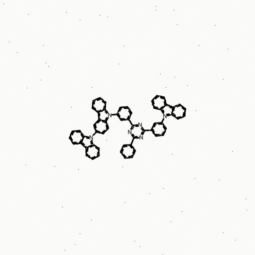 c1ccc(-c2nc(-c3cccc(-n4c5ccccc5c5ccccc54)c3)nc(-c3cccc(-n4c5ccccc5c5cc(-n6c7ccccc7c7ccccc76)ccc54)c3)n2)cc1